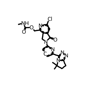 CNC(=O)OCc1nc(Cl)cc2c1CN(c1cccc(-c3nnc4n3C(C)(C)CC4)n1)C2=O